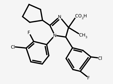 CC1(C(=O)O)N=C(C2CCCC2)N(c2cccc(Cl)c2F)C1c1ccc(F)c(Cl)c1